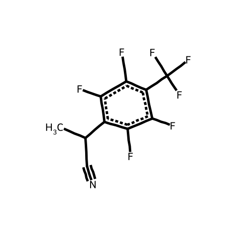 CC(C#N)c1c(F)c(F)c(C(F)(F)F)c(F)c1F